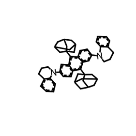 c1ccc2c(c1)CCCN2c1ccc2c(C34CC5CC(CC(C5)C3)C4)c3cc(N4CCCc5ccccc54)ccc3c(C34CC5CC(CC(C5)C3)C4)c2c1